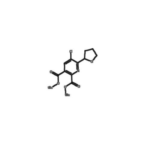 CC(C)(C)OC(=O)c1cc(Cl)c(C2CCCO2)nc1C(=O)OC(C)(C)C